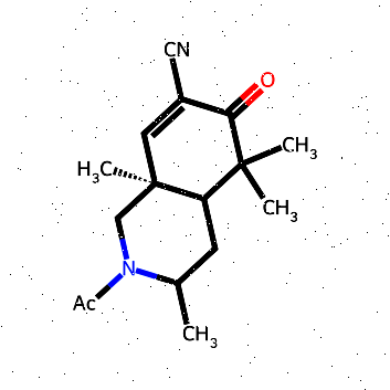 CC(=O)N1C[C@@]2(C)C=C(C#N)C(=O)C(C)(C)C2CC1C